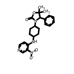 CC1(C)OC(=O)N(C2CCC(Nc3ccncc3[N+](=O)[O-])CC2)C1c1ccccc1